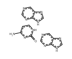 Nc1cc[nH]c(=O)n1.c1ncc2nc[nH]c2n1.c1ncc2nc[nH]c2n1